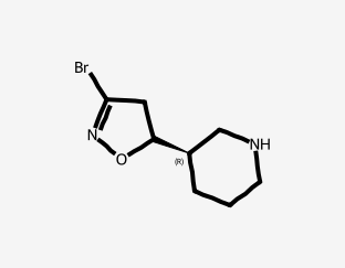 BrC1=NOC([C@@H]2CCCNC2)C1